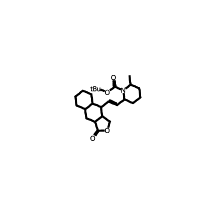 CC1CCCC(C=CC2C3CCCCC3CC3C(=O)OCC32)N1C(=O)OC(C)(C)C